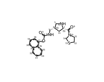 O=C(NC[C@@H]1CN[C@H](C(=O)N2CCSC2)C1)Oc1cccc2ccccc12